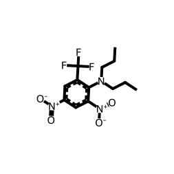 CCCN(CCC)c1c([N+](=O)[O-])cc([N+](=O)[O-])cc1C(F)(F)F